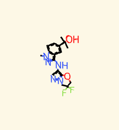 Cn1nc(Nc2cnn3c2OCC(F)(F)C3)c2cc(C(C)(C)O)ccc21